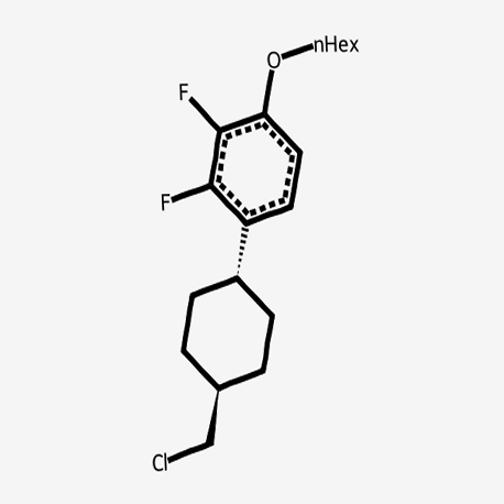 CCCCCCOc1ccc([C@H]2CC[C@H](CCl)CC2)c(F)c1F